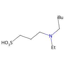 CCC(C)CN(CC)CCCS(=O)(=O)O